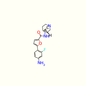 Nc1ccc(-c2ccc(C(=O)N[C@H]3CN4CCC3CC4)o2)c(F)c1